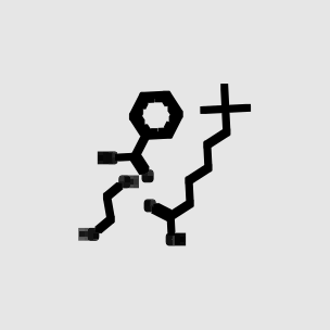 CC(C)(C)CCCCCC(=O)O.O=C(O)c1ccccc1.OCCO